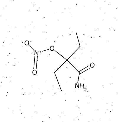 CCC(CC)(O[N+](=O)[O-])C(N)=O